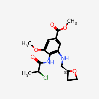 COC(=O)c1cc(NC[C@@H]2CCO2)c(NC(=O)C(C)Cl)c(OC)c1